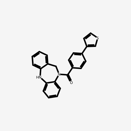 O=C(c1ccc(-c2ccsc2)cc1)N1Cc2ccccc2Nc2ccccc21